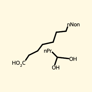 CCCC(O)O.CCCCCCCCCCCCCCCC(=O)O